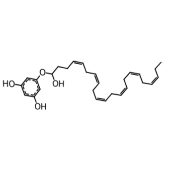 CC/C=C\C/C=C\C/C=C\C/C=C\C/C=C\C/C=C\CCC(O)Oc1cc(O)cc(O)c1